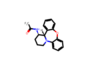 O=C(N[C@@H]1CCCN2c3ccccc3Oc3ccccc3[C@@H]12)C(F)(F)F